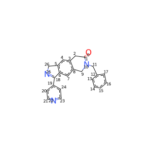 O=C1Cc2cc3c(cc2CN1Cc1ccccc1)C(c1ccncc1)=NC3